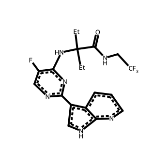 CCC(CC)(Nc1nc(-c2c[nH]c3ncccc23)ncc1F)C(=O)NCC(F)(F)F